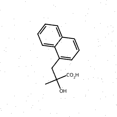 CC(O)(Cc1cccc2ccccc12)C(=O)O